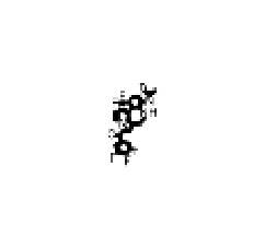 Cc1nc2c3c(c(C(F)(F)F)cc2n1C)-c1cccn2c(C(=O)c4cc(F)c(F)c(F)c4)cc(c12)CCN3